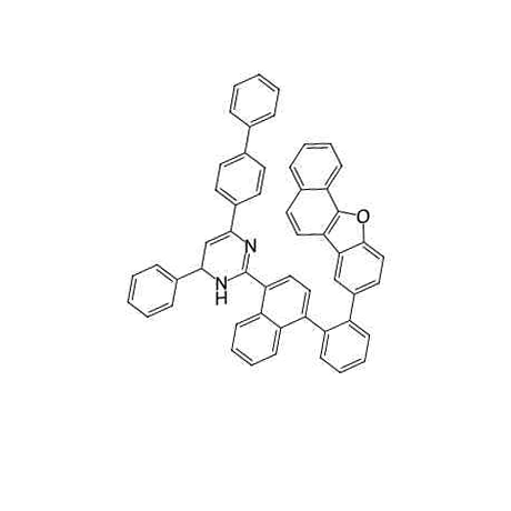 C1=C(c2ccc(-c3ccccc3)cc2)N=C(c2ccc(-c3ccccc3-c3ccc4oc5c6ccccc6ccc5c4c3)c3ccccc23)NC1c1ccccc1